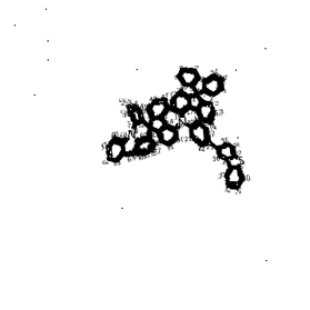 c1ccc(C2(c3ccccc3)c3ccccc3-c3c(N(c4ccc(-c5ccc6sc7ccccc7c6c5)cc4)c4cccc5c4-c4ccccc4C54c5ccccc5-n5c6ccccc6c6cccc4c65)cccc32)cc1